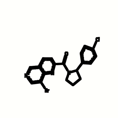 O=C(c1ccc2cncc(Br)c2n1)N1CCCC1c1ccc(Cl)cc1